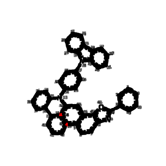 c1ccc(-c2nc3ccc4ccc(N(c5ccc(-n6c7ccccc7c7ccccc76)cc5)c5ccccc5-c5ccccc5)cc4c3o2)cc1